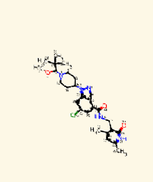 COC(N1CCC(n2ncc3c(C(=O)NCc4c(C)cc(C)[nH]c4=O)cc(Cl)cc32)CC1)C(C)(C)C